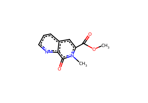 COC(=O)c1cc2cccnc2c(=O)n1C